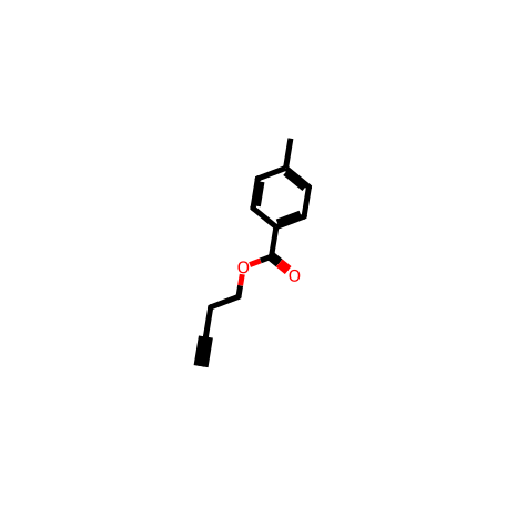 C#CCCOC(=O)c1ccc(C)cc1